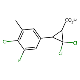 Cc1cc(C2C(C(=O)O)C2(Cl)Cl)cc(F)c1Cl